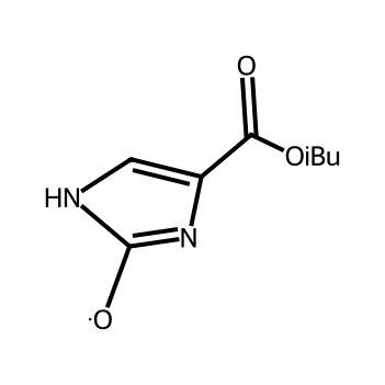 CC(C)COC(=O)c1c[nH]c([O])n1